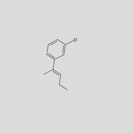 [CH2]CC=C(C)c1cccc(Cl)c1